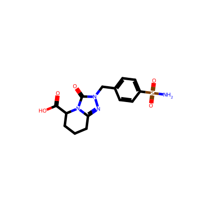 NS(=O)(=O)c1ccc(Cn2nc3n(c2=O)C(C(=O)O)CCC3)cc1